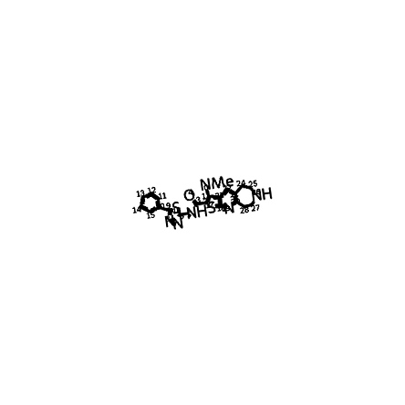 CNc1c(C(=O)Nc2nnc(-c3ccccc3)s2)sc2nc3c(cc12)CCNCC3